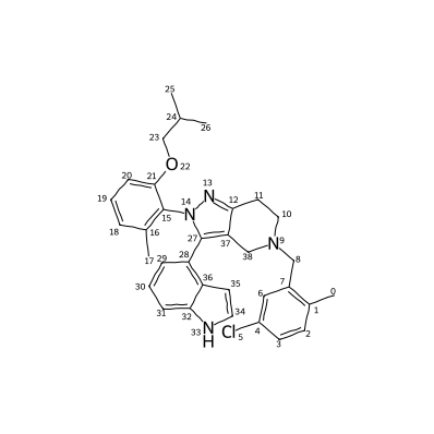 Cc1ccc(Cl)cc1CN1CCc2nn(-c3c(C)cccc3OCC(C)C)c(-c3cccc4[nH]ccc34)c2C1